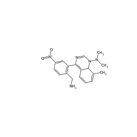 CC1=CC=CC2=C(c3cc([N+](=O)[O-])ccc3CN)N=CN(N(C)C)C12